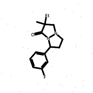 CCC1(C)CN2CCC(c3cccc(F)c3)N2C1=O